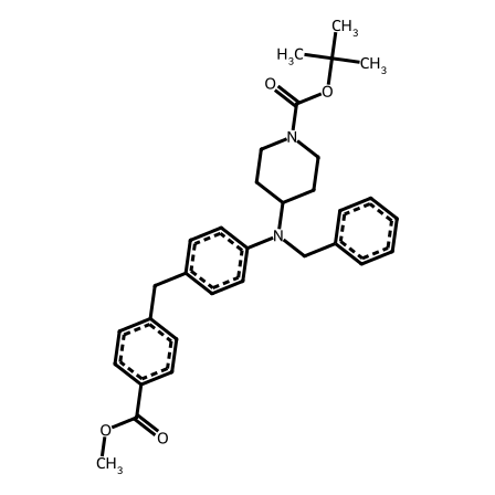 COC(=O)c1ccc(Cc2ccc(N(Cc3ccccc3)C3CCN(C(=O)OC(C)(C)C)CC3)cc2)cc1